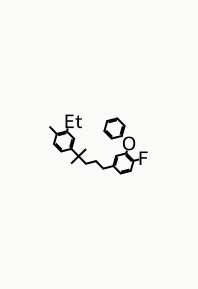 CCc1cc(C(C)(C)CCCc2ccc(F)c(Oc3ccccc3)c2)ccc1C